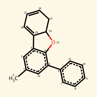 Cc1cc2c(c(-c3ccccc3)c1)OC1CC=CC=C21